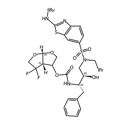 CC(C)CN(C[C@@H](O)[C@H](Cc1ccccc1)NC(=O)OC1CO[C@H]2OCC(F)(F)[C@@H]12)S(=O)(=O)c1ccc2nc(NC(C)(C)C)sc2c1